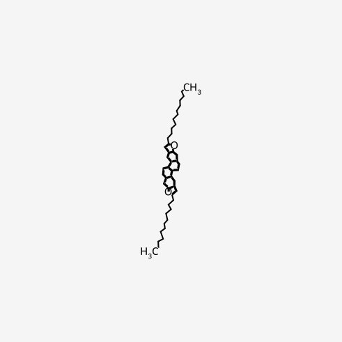 CCCCCCCCCCCCc1cc2cc3c(ccc4c5cc6cc(CCCCCCCCCCCC)oc6cc5ccc34)cc2o1